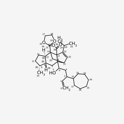 C=CC(CC(O)C12C[C@@H]3[C@H](C)CC[C@H]3C3(C4OCCO4)CC1C=C(C(C)C)C23C(=O)O)C1CCCCCC1